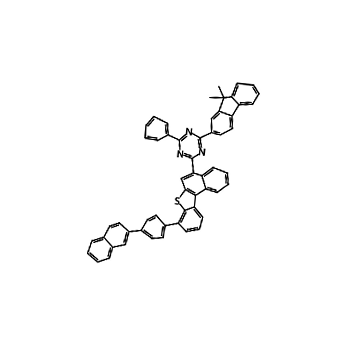 CC1(C)c2ccccc2-c2ccc(-c3nc(-c4ccccc4)nc(-c4cc5sc6c(-c7ccc(-c8ccc9ccccc9c8)cc7)cccc6c5c5ccccc45)n3)cc21